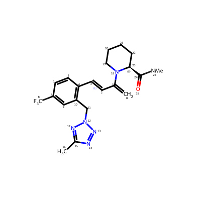 C=C(/C=C/c1ccc(C(F)(F)F)cc1Cn1nnc(C)n1)N1CCCC[C@H]1C(=O)NC